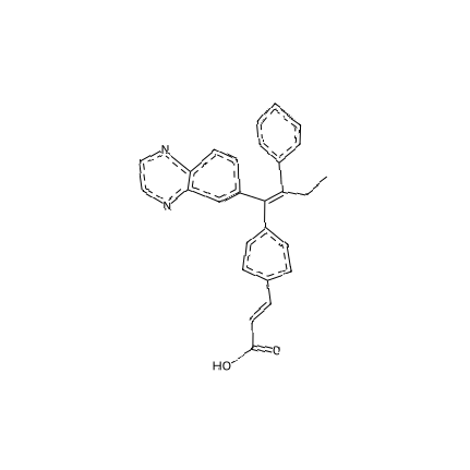 CCC(=C(c1ccc(C=CC(=O)O)cc1)c1ccc2nccnc2c1)c1ccccc1